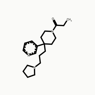 CCC(=O)N1CCC(CCCN2CCCC2)(c2cccnc2)CC1